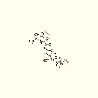 CC(C)n1nc(C(=O)N[C@H]2C[C@@H](COCC(C)(C)O)N(C(=O)O)C2)c2ccccc21